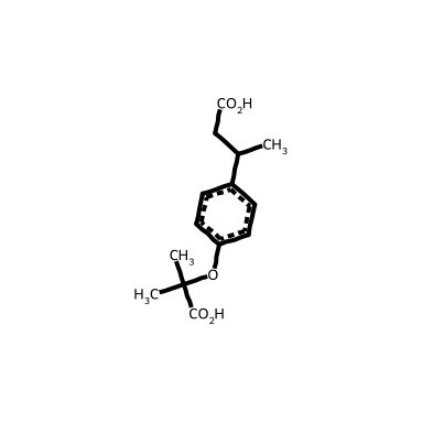 CC(CC(=O)O)c1ccc(OC(C)(C)C(=O)O)cc1